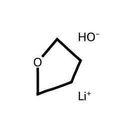 C1CCOC1.[Li+].[OH-]